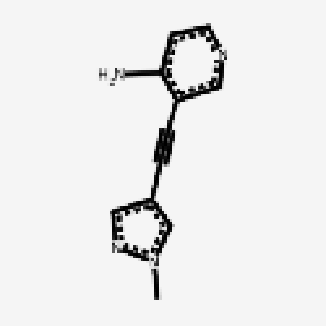 Cn1cc(C#Cc2cnccc2N)cn1